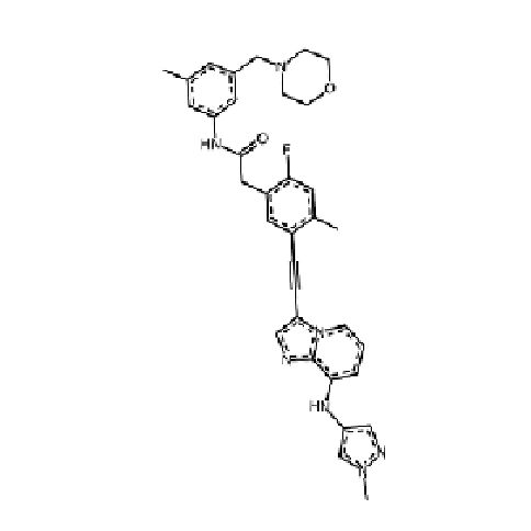 Cc1cc(CN2CCOCC2)cc(NC(=O)Cc2cc(C#Cc3cnc4c(Nc5cnn(C)c5)cccn34)c(C)cc2F)c1